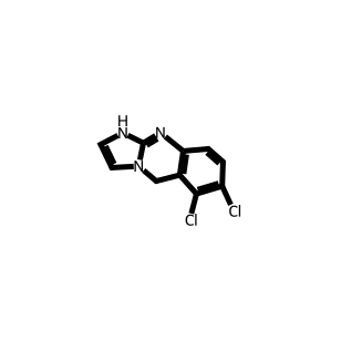 Clc1ccc2c(c1Cl)CN1C=CNC1=N2